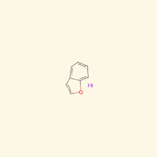 I.c1ccc2occc2c1